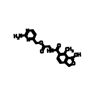 Cc1c(C(=O)NCC(=O)OCc2ccnc(N)n2)ccc2c1B(O)OC2